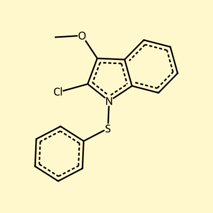 COc1c(Cl)n(Sc2ccccc2)c2ccccc12